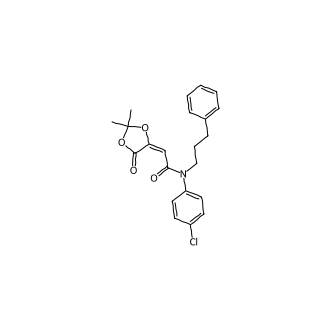 CC1(C)OC(=O)C(=CC(=O)N(CCCc2ccccc2)c2ccc(Cl)cc2)O1